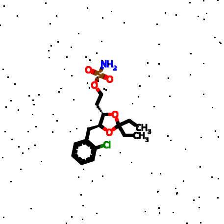 CCC1(CC)O[C@@H](CCOS(N)(=O)=O)[C@H](Cc2ccccc2Cl)O1